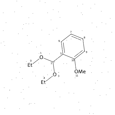 CCO[C](OCC)c1ccccc1OC